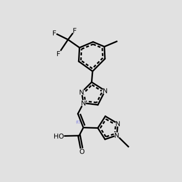 Cc1cc(-c2ncn(/C=C(/C(=O)O)c3cnn(C)c3)n2)cc(C(F)(F)F)c1